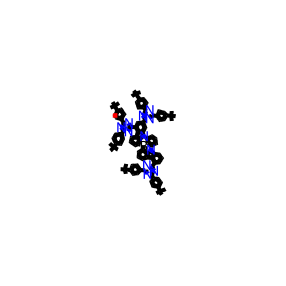 CC(C)(C)c1ccc(-c2nc(-c3ccc(C(C)(C)C)cc3)nc(-c3cc(-c4nc(-c5ccc(C(C)(C)C)cc5)nc(-c5ccc(C(C)(C)C)cc5)n4)c4c5cccc6c5n(c4c3)-c3cccc4c3B6c3cccc5c6c(-c7nc(-c8ccc(C(C)(C)C)cc8)nc(-c8ccc(C(C)(C)C)cc8)n7)cccc6n-4c35)n2)cc1